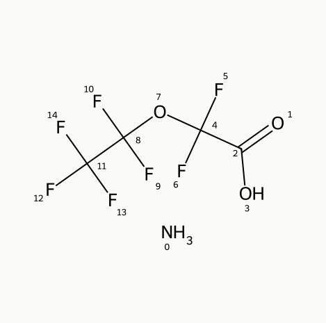 N.O=C(O)C(F)(F)OC(F)(F)C(F)(F)F